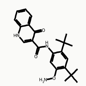 CC(C)(C)c1cc(C(C)(C)C)c(ON)cc1NC(=O)c1c[nH]c2ccccc2c1=O